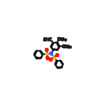 COc1cc(N(S(=O)(=O)c2ccccc2)S(=O)(=O)c2ccccc2)cc(C=O)c1OC